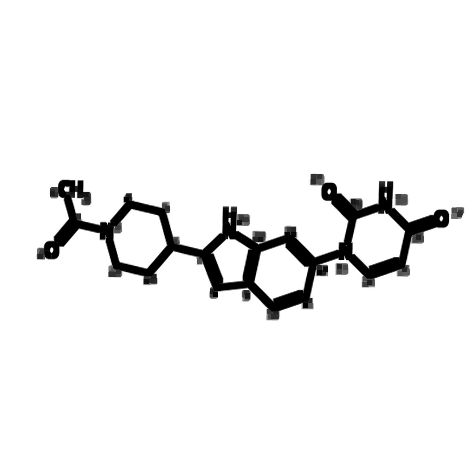 CC(=O)N1CCC(c2cc3ccc(-n4ccc(=O)[nH]c4=O)cc3[nH]2)CC1